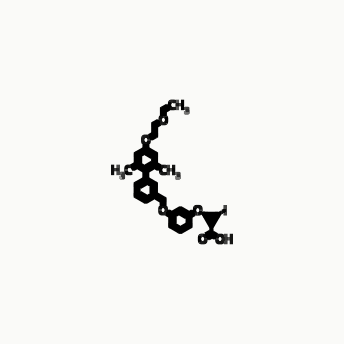 CCOCCOc1cc(C)c(-c2cccc(COC3=CCCC(O[C@@H]4[C@H](I)[C@H]4C(=O)O)=C3)c2)c(C)c1